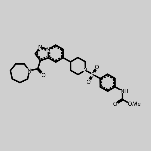 COC(=O)Nc1ccc(S(=O)(=O)N2CCC(c3ccn4ncc(C(=O)N5CCCCCC5)c4c3)CC2)cc1